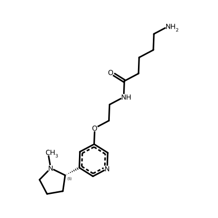 CN1CCC[C@H]1c1cncc(OCCNC(=O)CCCCN)c1